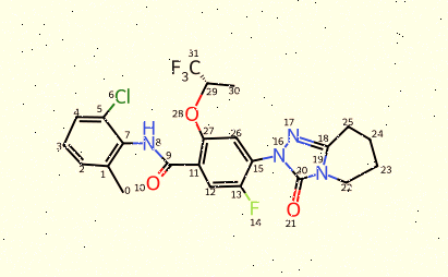 Cc1cccc(Cl)c1NC(=O)c1cc(F)c(-n2nc3n(c2=O)CCCC3)cc1O[C@@H](C)C(F)(F)F